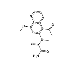 COc1cc(N(C)C(=O)C(N)=O)c(C(C)=O)c2cccnc12